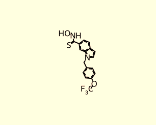 ONC(=S)c1ccc2ccn(Cc3ccc(OC(F)(F)F)cc3)c2c1